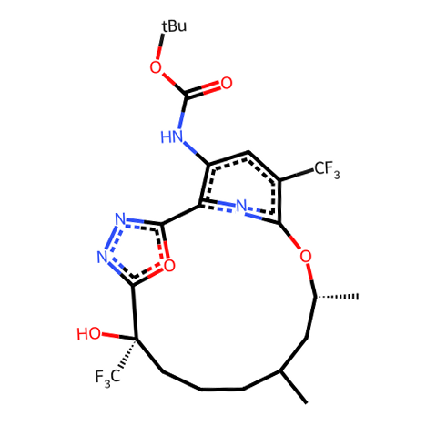 CC1CCC[C@](O)(C(F)(F)F)c2nnc(o2)-c2nc(c(C(F)(F)F)cc2NC(=O)OC(C)(C)C)O[C@H](C)C1